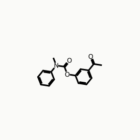 CC(=O)c1cccc(OC(=O)N(C)c2ccccc2)c1